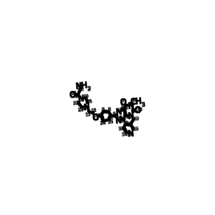 Cn1c(=O)c2nc(-c3ccc(OCCN4CCN(C(=O)CN)CC4)cc3)nnc2n(Cc2cccnc2)c1=O